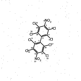 O=[N+]([O-])c1c(Cl)c(Cl)c(-c2c(Cl)c(Cl)c([N+](=O)[O-])c(Cl)c2Cl)c(Cl)c1Cl